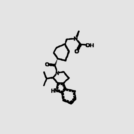 CC(C)C1c2[nH]c3ccccc3c2CCN1C(=O)[C@H]1CC[C@H](CN(C)C(=O)O)CC1